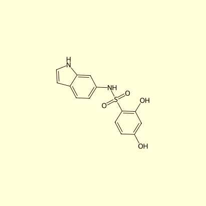 O=S(=O)(Nc1ccc2cc[nH]c2c1)c1ccc(O)cc1O